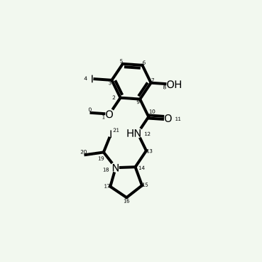 COc1c(I)ccc(O)c1C(=O)NCC1CCCN1C(C)I